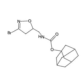 O=C(NCC1CC(Br)=NO1)OC12CC3CC(CC(C3)C1)C2